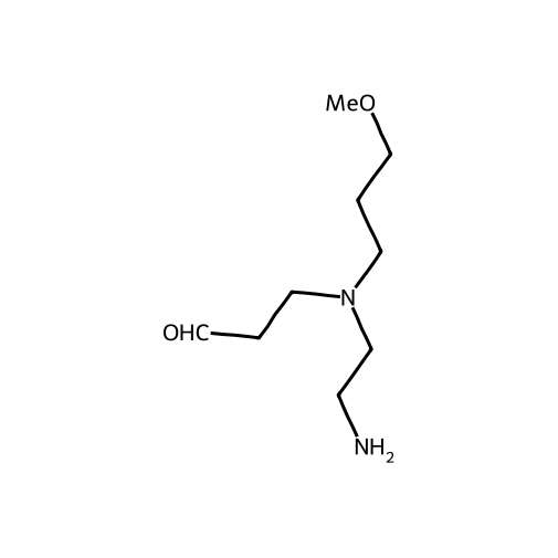 COCCCN(CCN)CCC=O